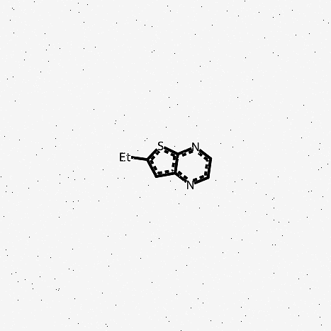 CCc1cc2nccnc2s1